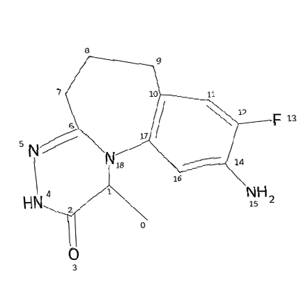 CC1C(=O)NN=C2CCCc3cc(F)c(N)cc3N21